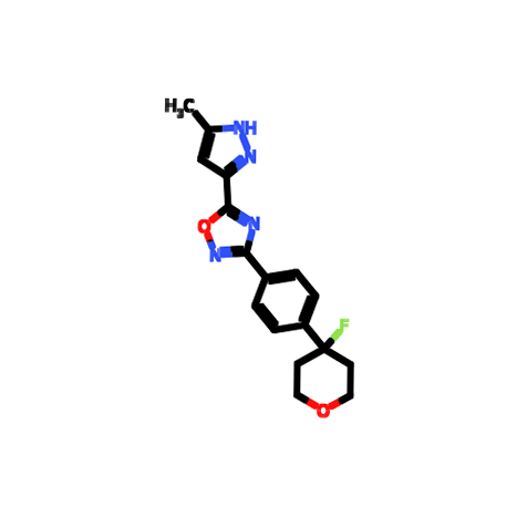 Cc1cc(-c2nc(-c3ccc(C4(F)CCOCC4)cc3)no2)n[nH]1